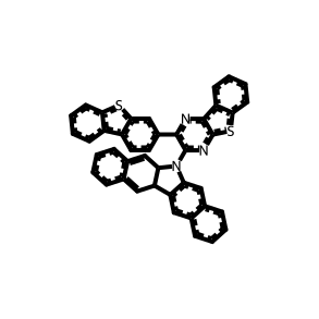 C1=c2ccccc2=CC2C1c1cc3ccccc3cc1N2c1nc2sc3ccccc3c2nc1-c1ccc2c(c1)sc1ccccc12